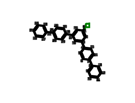 Clc1cc(-c2ccc(-c3ccccc3)cc2)cc(-c2ccc(-c3ccccc3)cc2)c1